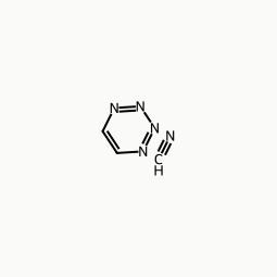 C#N.c1cnnnn1